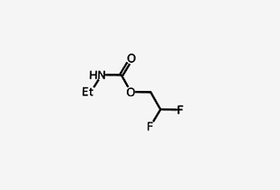 CCNC(=O)OCC(F)F